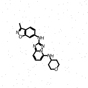 Cc1noc2cc(Nc3nc4cccc(NC5CCOCC5)n4n3)ccc12